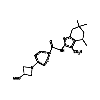 COC1CN(c2ccc(C(=O)Nc3sc4c(c3C(=O)O)C(C)CC(C)(C)C4)cc2)C1